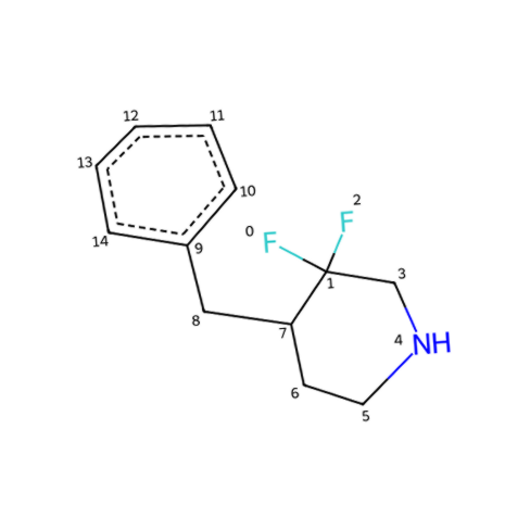 FC1(F)CNCCC1Cc1ccccc1